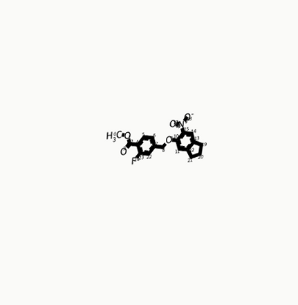 COC(=O)c1ccc(COc2cc3c(cc2[N+](=O)[O-])CCC3)cc1F